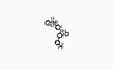 O=S(=O)(Nc1ccncn1)c1ccc(N[C@H]2CC[C@H](c3cccc(C(F)(F)F)c3)C[C@@H]2N2CCCC2)nc1